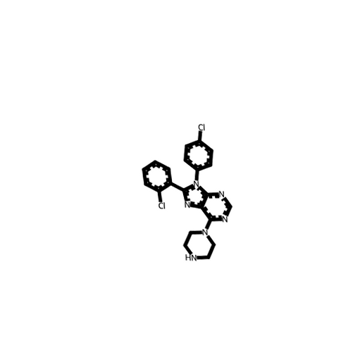 Clc1ccc(-n2c(-c3ccccc3Cl)nc3c(N4CCNCC4)ncnc32)cc1